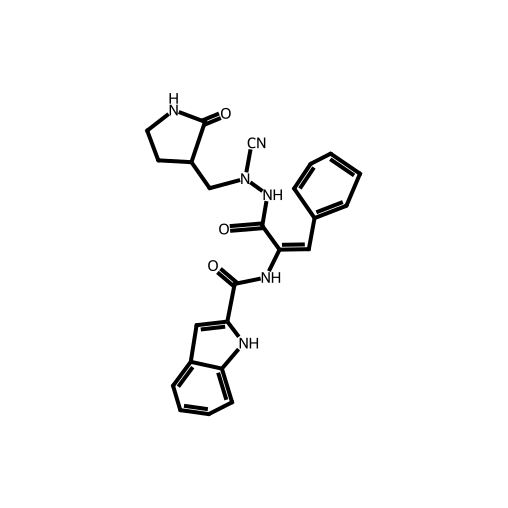 N#CN(CC1CCNC1=O)NC(=O)/C(=C\c1ccccc1)NC(=O)c1cc2ccccc2[nH]1